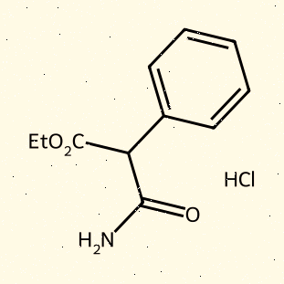 CCOC(=O)C(C(N)=O)c1ccccc1.Cl